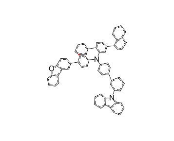 c1ccc(-c2ccc(-c3cccc4ccccc34)cc2N(c2ccc(-c3cccc(-n4c5ccccc5c5ccccc54)c3)cc2)c2ccc(-c3ccc4oc5ccccc5c4c3)cc2)cc1